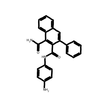 NC(=O)c1c(C(=O)Nc2ccc(N)cc2)c(-c2ccccc2)cc2ccccc12